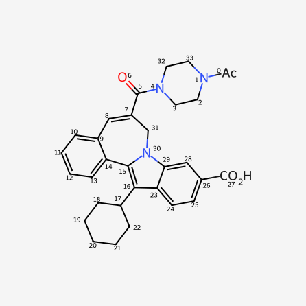 CC(=O)N1CCN(C(=O)C2=Cc3ccccc3-c3c(C4CCCCC4)c4ccc(C(=O)O)cc4n3C2)CC1